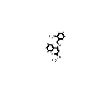 COC(=O)/C=C(/SCc1ccccc1C)c1ccccc1